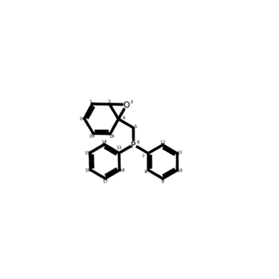 C1=CC2OC2(CP(c2ccccc2)c2ccccc2)C=C1